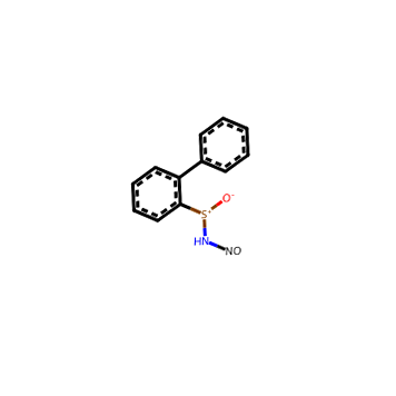 O=NN[S+]([O-])c1ccccc1-c1ccccc1